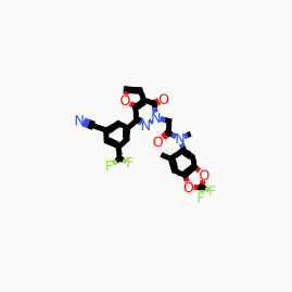 Cc1cc2c(cc1N(C)C(=O)Cn1nc(-c3cc(C#N)cc(C(F)F)c3)c3occc3c1=O)OC(F)(F)O2